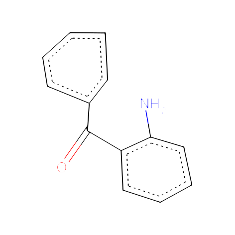 Nc1ccccc1C(=O)c1c[c]ccc1